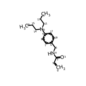 C=CC(=O)NCc1ccc(N(CCC)CCC)cc1